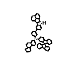 c1cc(-c2ccc3[nH]c4c(c3c2)-c2cccc3cccc-4c23)cc(N(c2ccc3c(c2)C2(c4ccccc4-c4ccccc42)c2ccccc2-3)c2ccc3c(ccc4ccccc43)c2)c1